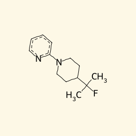 CC(C)(F)C1CCN(c2ccccn2)CC1